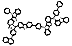 CC1C=Cc2c(sc3c4ccccc4n(-c4ccccc4)c23)C1N(c1ccc(-c2cccc3ccccc23)cc1)c1ccc2c(c1)oc1cc(-c3ccc(-n4c5ccccc5c5sc6c(c54)C=CCC6N(c4ccc(-c5ccccc5)cc4)c4cccc5c4sc4ccccc45)cc3)ccc12